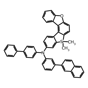 C[Si]1(C)c2cc(N(c3ccc(-c4ccccc4)cc3)c3cccc(-c4ccc5ccccc5c4)c3)ccc2-c2c1ccc1oc3ccccc3c21